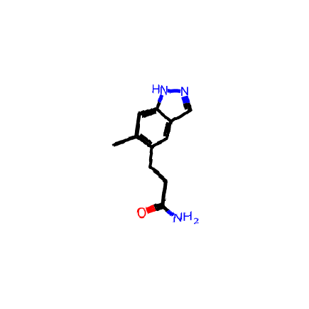 Cc1cc2[nH]ncc2cc1CCC(N)=O